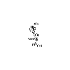 CCN(CCO)CCCOc1cc2nccc(Oc3ccc(NC(=O)NCCC(C)(C)C)c(F)c3)c2cc1OC